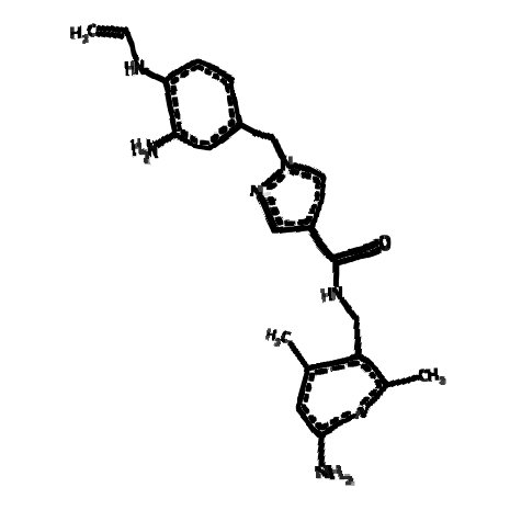 C=CNc1ccc(Cn2cc(C(=O)NCc3c(C)cc(N)nc3C)cn2)cc1N